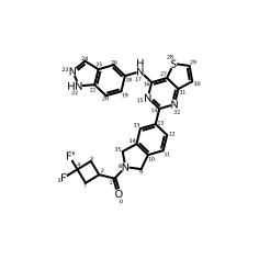 O=C(C1CC(F)(F)C1)N1Cc2ccc(-c3nc(Nc4ccc5[nH]ncc5c4)c4sccc4n3)cc2C1